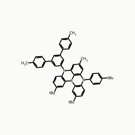 Cc1ccc(-c2cc(-c3ccc(C)cc3)cc(N3c4ccc(C(C)(C)C)cc4B4c5cc(C(C)(C)C)ccc5N(c5ccc(C(C)(C)C)cc5)c5cc(C)cc3c54)c2)cc1